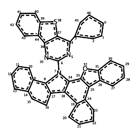 c1ccc(-c2nc(-n3c4c5ccccc5ccc4c4c5ccccc5c5c6ccccc6oc5c43)nc3c2sc2ccccc23)cc1